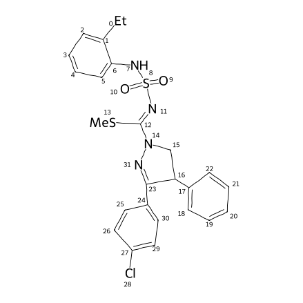 CCc1ccccc1NS(=O)(=O)N=C(SC)N1CC(c2ccccc2)C(c2ccc(Cl)cc2)=N1